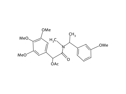 COc1cccc(C(C)N(C)C(=O)C(OC(C)=O)c2cc(OC)c(OC)c(OC)c2)c1